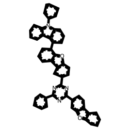 c1ccc(-c2nc(-c3ccc4c(c3)oc3ccccc34)nc(-c3ccc4oc5c(-c6cccc7c6c6ccccc6n7-c6ccccc6)cccc5c4c3)n2)cc1